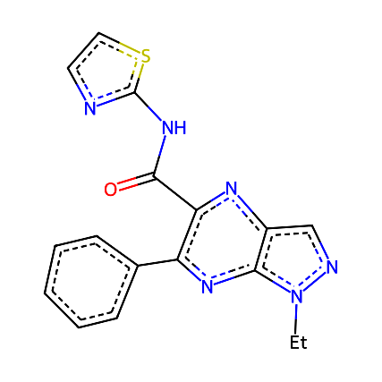 CCn1ncc2nc(C(=O)Nc3nccs3)c(-c3ccccc3)nc21